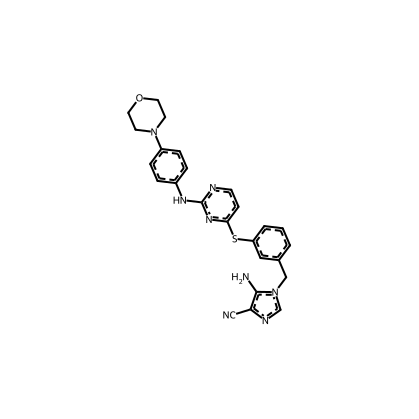 N#Cc1ncn(Cc2cccc(Sc3ccnc(Nc4ccc(N5CCOCC5)cc4)n3)c2)c1N